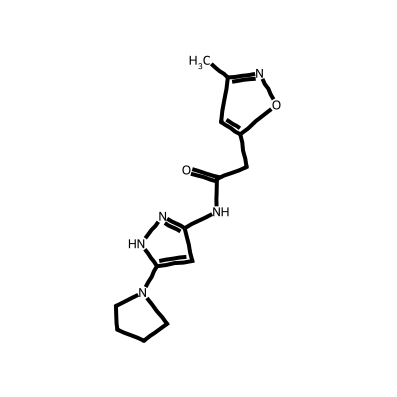 Cc1cc(CC(=O)Nc2cc(N3CCCC3)[nH]n2)on1